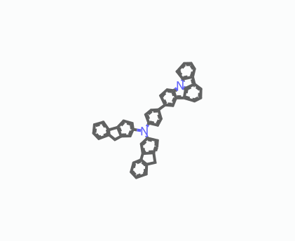 c1ccc2c(c1)Cc1cc(N(c3ccc(-c4ccc5c(c4)c4cccc6c7ccccc7n5c64)cc3)c3ccc4c(c3)-c3ccccc3C4)ccc1-2